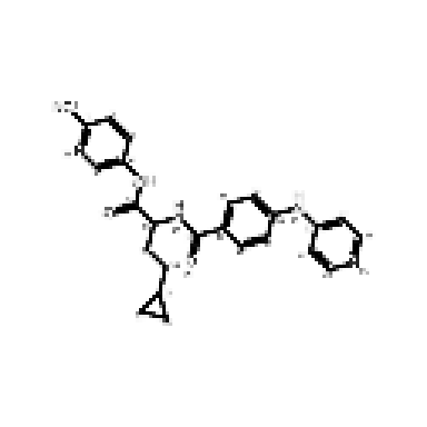 N#Cc1ccc(NC(=O)C(CCC2CC2)NC(=O)c2ccc(Nc3ccncc3)cc2)cn1